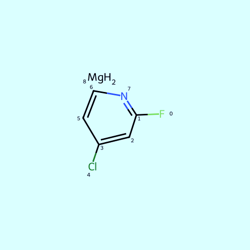 Fc1cc(Cl)ccn1.[MgH2]